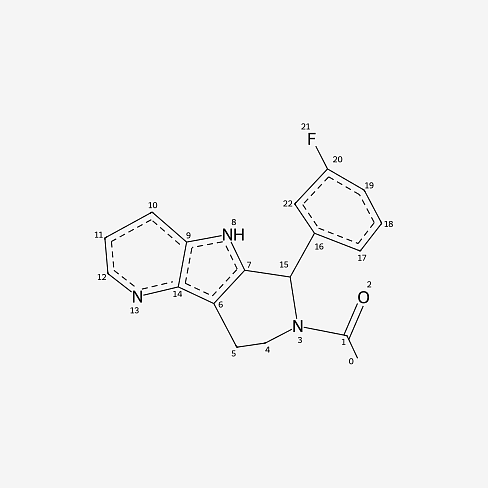 CC(=O)N1CCc2c([nH]c3cccnc23)C1c1cccc(F)c1